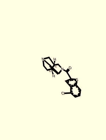 O=C(c1cc2c(Cl)cccc2s1)N1C[C@H]2CN3C=C1[C@@H]2CC3